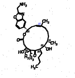 CCCC[C@H]1C(=O)C(C)(C)[C@@H](O)CC(=O)O[C@H](c2ccc3oc(CN)nc3c2)C/C=C(/C)CCC[C@H](C)[C@@H]1O